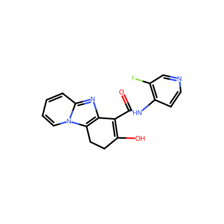 O=C(Nc1ccncc1F)C1=C(O)CCc2c1nc1ccccn21